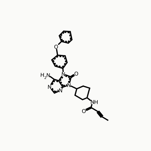 CC#CC(=O)NC1CCC(n2c(=O)n(-c3ccc(Oc4ccccc4)cc3)c3c(N)ncnc32)CC1